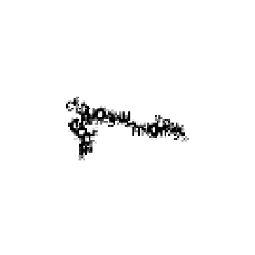 CC(=O)N1CCc2c(c(N3CCCc4cc(-c5cnn(C)c5)c(C(F)F)cc43)nn2C2CCN(CC(=O)NCCCCCCNc3ccc(C(=O)Nc4ncc(C)s4)c(C)c3)CC2)C1